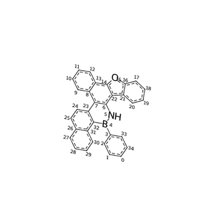 c1ccc(B2Nc3c(c4ccccc4c4oc5ccccc5c34)-c3ccc4ccccc4c32)cc1